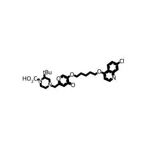 CC(C)(C)C1CN(Cc2cc(=O)c(OCCCCCOc3ccnc4cc(Cl)ccc34)co2)CCN1C(=O)O